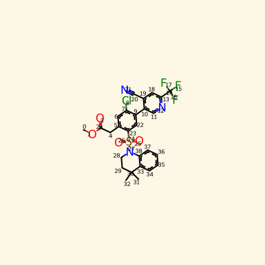 COC(=O)Cc1cc(Cl)c(-c2cnc(C(F)(F)F)cc2C#N)cc1S(=O)(=O)N1CCC(C)(C)c2ccccc21